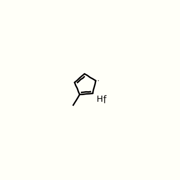 CC1=C[CH]C=C1.[Hf]